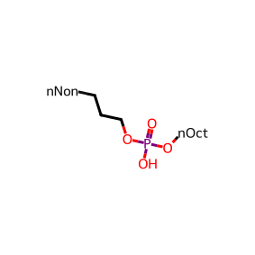 CCCCCCCCCCCCOP(=O)(O)OCCCCCCCC